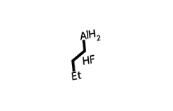 CCC[CH2][AlH2].F